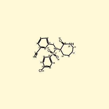 N#Cc1cccc(CN(C2CCCCNC2=O)S(=O)(=O)c2ccc(Cl)cc2)c1